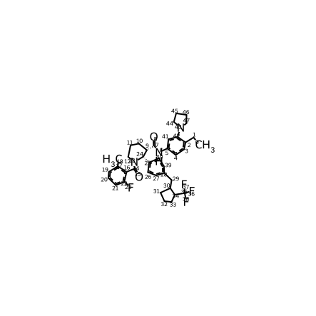 CCc1ccc(NC(=O)[C@H]2CCCN(C(=O)c3c(C)cccc3F)[C@H]2c2ccc(CC3CCCC3C(F)(F)F)cc2)cc1N1CCCC1